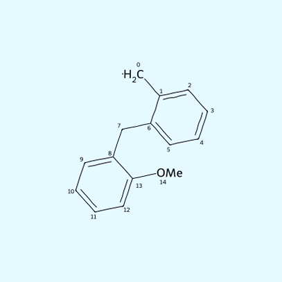 [CH2]c1ccccc1Cc1ccccc1OC